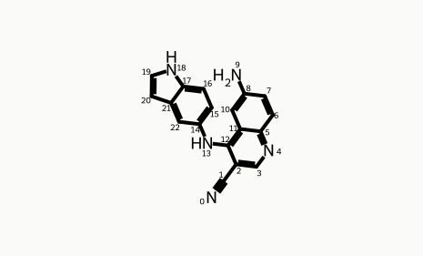 N#Cc1cnc2ccc(N)cc2c1Nc1ccc2[nH]ccc2c1